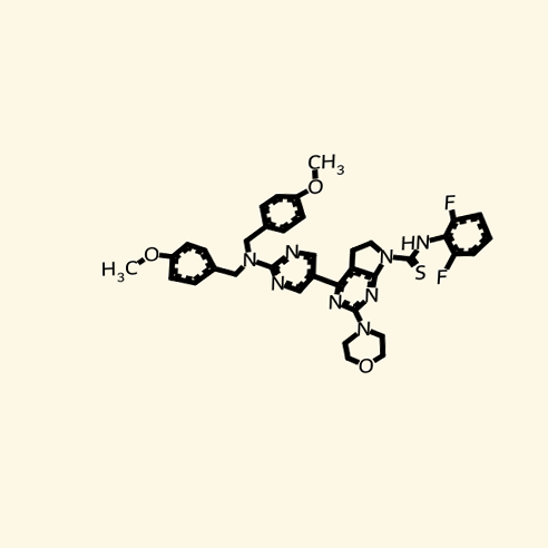 COc1ccc(CN(Cc2ccc(OC)cc2)c2ncc(-c3nc(N4CCOCC4)nc4c3CCN4C(=S)Nc3c(F)cccc3F)cn2)cc1